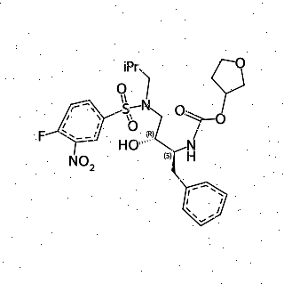 CC(C)CN(C[C@@H](O)[C@H](Cc1ccccc1)NC(=O)OC1CCOC1)S(=O)(=O)c1ccc(F)c([N+](=O)[O-])c1